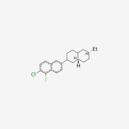 CC[C@@H]1CC[C@@H]2CC(c3ccc4c(F)c(Cl)ccc4c3)CCC2C1